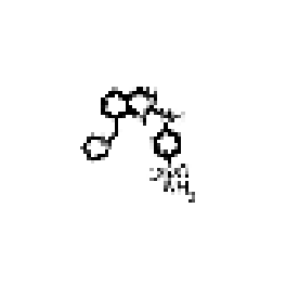 NS(=O)(=O)c1ccc(Nc2ncc3cccc(CN4CCCC4)c3n2)cc1